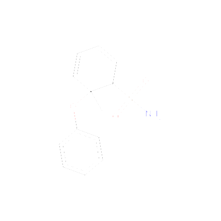 CC1(Oc2ccccc2)C=CC=CC1S(N)(=O)=O